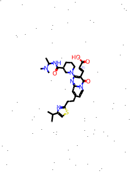 CC(C)c1csc(CCc2ccn3c(=O)c(/C=C/C(=O)O)c(N4CCCC(C(=O)NC(C)N(C)C)C4)nc3c2)n1